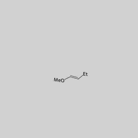 [CH2]CC=COC